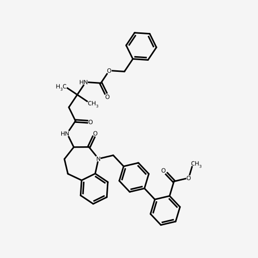 COC(=O)c1ccccc1-c1ccc(CN2C(=O)C(NC(=O)CC(C)(C)NC(=O)OCc3ccccc3)CCc3ccccc32)cc1